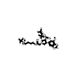 COc1cc([C@H]2CN(CC(=O)NCCCC[N+](C)(C)C(C)(C)C)[C@H](CC(C)(C)C=C(C)C)[C@H]2C(=O)O)cc2c1OCO2